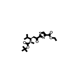 CCOC(=O)c1csc(C(=O)C[C@H](C(C)C)N(C)C(=O)OC(C)(C)C)n1